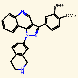 COc1ccc(-c2nn(-c3ccc4c(c3)CNCC4)c3c2cnc2ccccc23)cc1OC